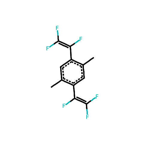 Cc1cc(C(F)=C(F)F)c(C)cc1C(F)=C(F)F